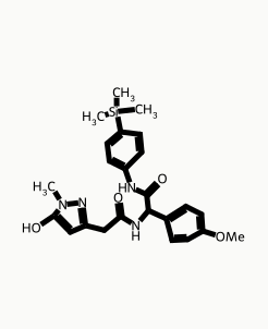 COc1ccc(C(NC(=O)Cc2cc(O)n(C)n2)C(=O)Nc2ccc([Si](C)(C)C)cc2)cc1